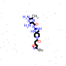 Cc1nc(C(=O)/N=C2\NCC3(CCN(C(=O)Cc4cc(C(C)(C)C)no4)CC3)N2)c(N)nc1N